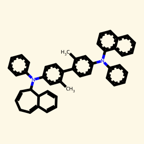 Cc1cc(N(c2ccccc2)c2cccc3ccccc23)ccc1-c1ccc(N(c2ccccc2)C2C=CCC=C3C=CC=CC32)cc1C